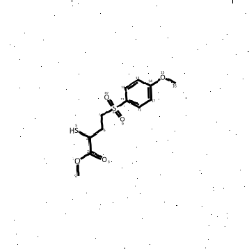 COC(=O)C(S)CCS(=O)(=O)c1ccc(OC)cc1